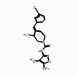 Cc1onc(NC(=O)N2CCC(=Cc3cccc(Cl)c3)C(C)C2)c1C